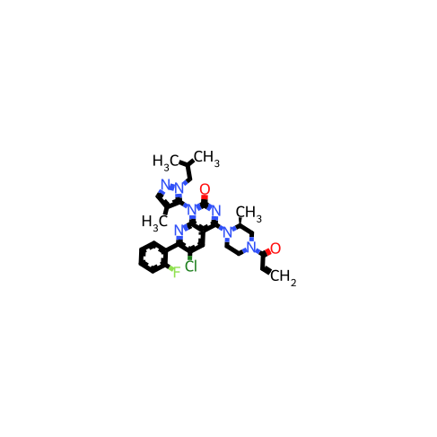 C=CC(=O)N1CCN(c2nc(=O)n(-c3c(C)cnn3CC(C)C)c3nc(-c4ccccc4F)c(Cl)cc23)[C@@H](C)C1